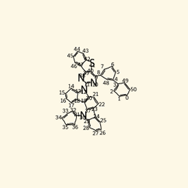 c1ccc(-c2cccc(-c3nc(-n4c5ccccc5c5c4ccc4c6ccccc6n(-c6ccccc6)c45)nc4c3sc3ccccc34)c2)cc1